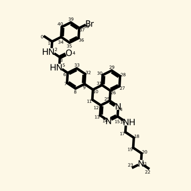 CC(NC(=O)Nc1ccc(C2Cc3cnc(NCCCCN(C)C)nc3-c3ccccc32)cc1)c1ccc(Br)cc1